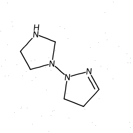 C1=NN(N2CCNC2)CC1